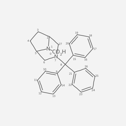 O=C(O)N1C2CCC1CN(C(c1ccccc1)(c1ccccc1)c1ccccc1)C2